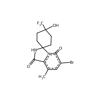 Cc1cc(Br)c(=O)n2c1C(=O)NC21CCC(O)(C(F)(F)F)CC1